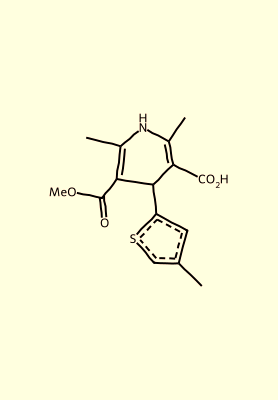 COC(=O)C1=C(C)NC(C)=C(C(=O)O)C1c1cc(C)cs1